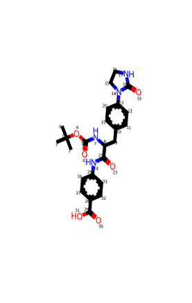 CC(C)(C)OC(=O)NC(Cc1ccc(N2CCNC2=O)cc1)C(=O)Nc1ccc(C(=O)O)cc1